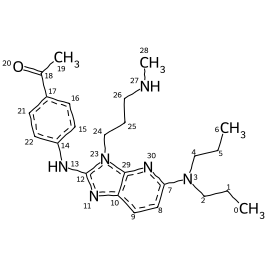 CCCN(CCC)c1ccc2nc(Nc3ccc(C(C)=O)cc3)n(CCCNC)c2n1